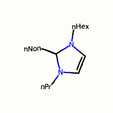 CCCCCCCCCC1N(CCC)C=CN1CCCCCC